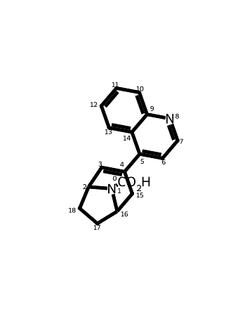 O=C(O)N1C2C=C(c3ccnc4ccccc34)CC1CC2